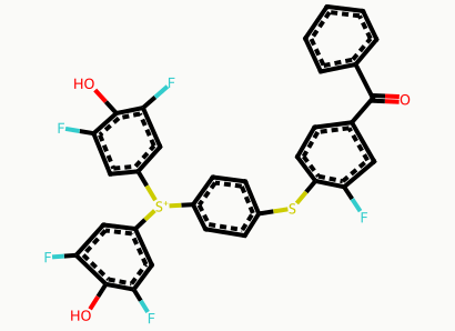 O=C(c1ccccc1)c1ccc(Sc2ccc([S+](c3cc(F)c(O)c(F)c3)c3cc(F)c(O)c(F)c3)cc2)c(F)c1